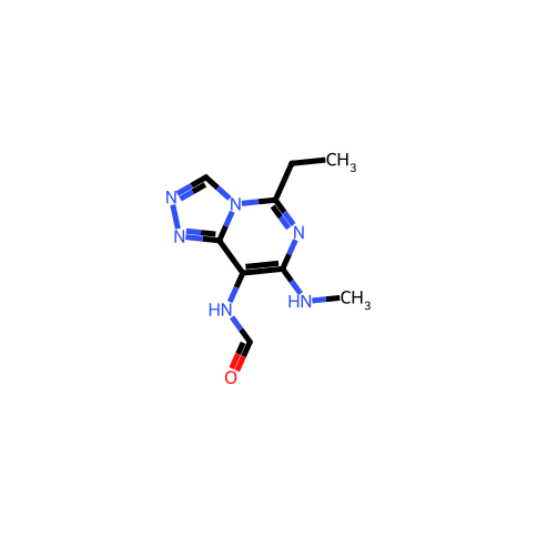 CCc1nc(NC)c(NC=O)c2nncn12